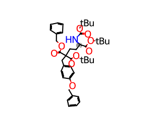 CC(C)(C)OC(=O)N[C@H](CCC(Cc1ccc(OCc2ccccc2)cc1)(C(=O)OCc1ccccc1)C(=O)OC(C)(C)C)C(=O)OC(C)(C)C